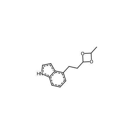 CC1OC(CCc2cccc3[nH]ccc23)O1